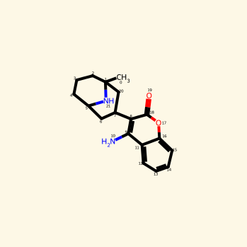 CC12CCCC(CC(c3c(N)c4ccccc4oc3=O)C1)N2